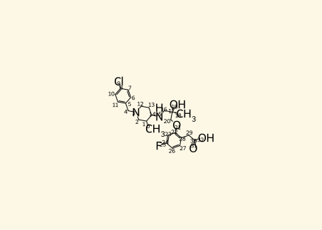 CC1CN(Cc2ccc(Cl)cc2)CCC1NC[C@](C)(O)COc1cc(F)ccc1CC(=O)O